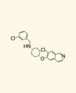 Clc1cccc(CN[C@H]2CC[C@@H](Oc3cc4ccncc4cc3Cl)CC2)c1